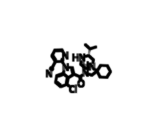 CC(C)[C@@H]1CN(C2(CNC(=O)c3cn(-c4ncccc4C#N)c4cccc(Cl)c34)CCCCC2)CCN1